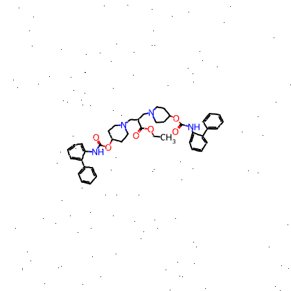 CCOC(=O)C(CN1CCC(OC(=O)Nc2ccccc2-c2ccccc2)CC1)CN1CCC(OC(=O)Nc2ccccc2-c2ccccc2)CC1